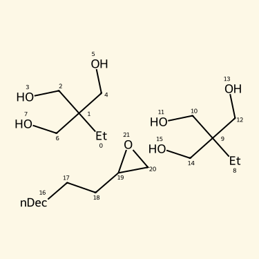 CCC(CO)(CO)CO.CCC(CO)(CO)CO.CCCCCCCCCCCCC1CO1